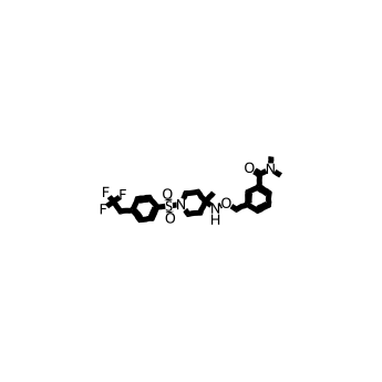 CN(C)C(=O)c1cccc(CONC2(C)CCN(S(=O)(=O)c3ccc(CC(F)(F)F)cc3)CC2)c1